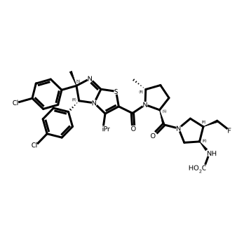 CC(C)C1=C(C(=O)N2[C@H](C)CC[C@H]2C(=O)N2C[C@@H](CF)[C@@H](NC(=O)O)C2)SC2=N[C@@](C)(c3ccc(Cl)cc3)[C@@H](c3ccc(Cl)cc3)N21